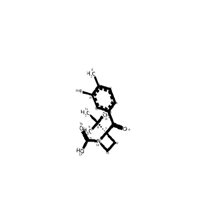 Cc1ccc(C(=O)[C@@]2(C(C)(C)C)CCN2C(=O)O)cc1F